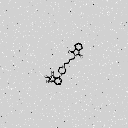 O=C1c2ccccc2C(=O)N1CCCCN1CCN(c2cccc3[nH]c(=O)[nH]c23)CC1